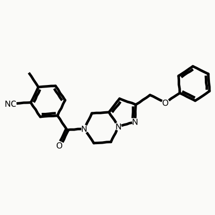 Cc1ccc(C(=O)N2CCn3nc(COc4ccccc4)cc3C2)cc1C#N